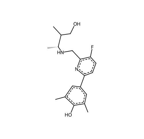 Cc1cc(-c2ccc(F)c(CN[C@H](C)C(C)CO)n2)cc(C)c1O